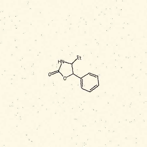 CCC1NC(=O)OC1c1ccccc1